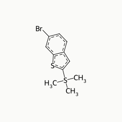 CS(C)(C)c1cc2ccc(Br)cc2s1